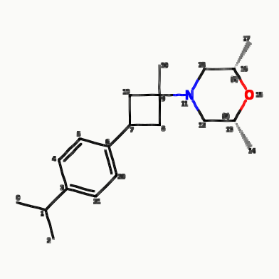 CC(C)c1ccc(C2CC(C)(N3C[C@@H](C)O[C@@H](C)C3)C2)cc1